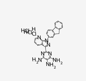 Cl.Cl.Cl.Nc1nc(-c2nn(-c3ccc4c(c3)Cc3ccccc3-4)c3ncccc23)nc(N)c1N